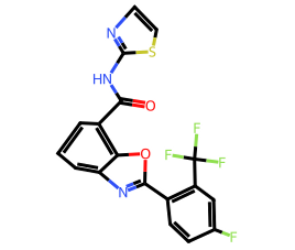 O=C(Nc1nccs1)c1cccc2nc(-c3ccc(F)cc3C(F)(F)F)oc12